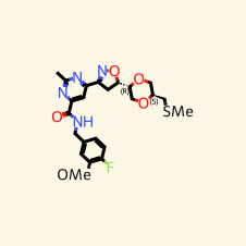 COc1cc(CNC(=O)c2cc(C3=NOC([C@H]4CO[C@H](CSC)CO4)C3)nc(C)n2)ccc1F